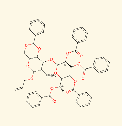 C=CCOC1OC2COC(c3ccccc3)OC2C(OC(OC(COC(=O)c2ccccc2)[C@@H](C)OC(=O)c2ccccc2)[C@H](COC(=O)c2ccccc2)OC(=O)c2ccccc2)C1NC(C)=O